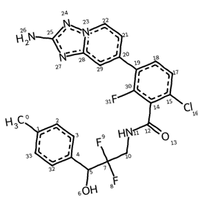 Cc1ccc(C(O)C(F)(F)CNC(=O)c2c(Cl)ccc(-c3ccn4nc(N)nc4c3)c2F)cc1